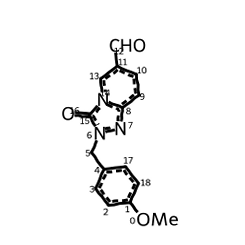 COc1ccc(Cn2nc3ccc(C=O)cn3c2=O)cc1